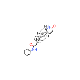 CN1C(=O)C=C[C@]2(C)[C@H]3CC[C@]4(C)[C@@H](CC(=O)Nc5ccccc5)CC[C@H]4[C@@H]3CC[C@@H]12